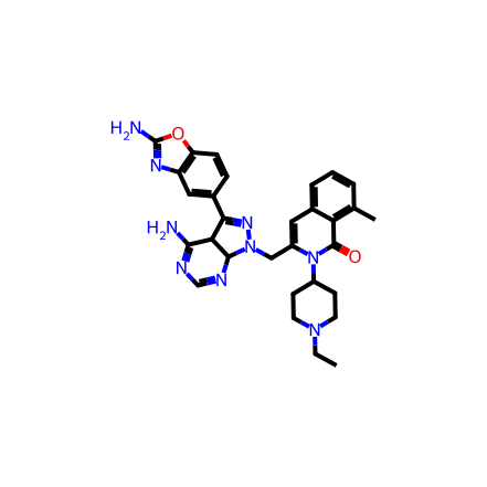 CCN1CCC(n2c(CN3N=C(c4ccc5oc(N)nc5c4)C4C(N)=NC=NC43)cc3cccc(C)c3c2=O)CC1